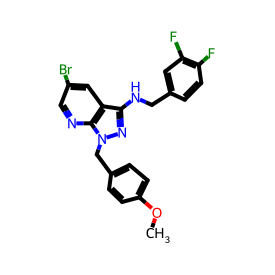 COc1ccc(Cn2nc(NCc3ccc(F)c(F)c3)c3cc(Br)cnc32)cc1